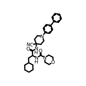 N#CC1(NC(=O)C(CC2CCCCC2)NC(=O)N2CCOCC2)CCN(c2ccc(-c3ccccc3)cc2)CC1